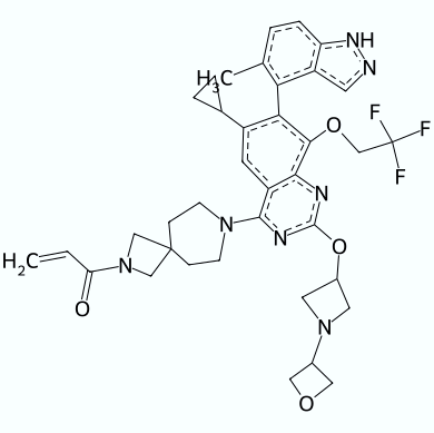 C=CC(=O)N1CC2(CCN(c3nc(OC4CN(C5COC5)C4)nc4c(OCC(F)(F)F)c(-c5c(C)ccc6[nH]ncc56)c(C5CC5)cc34)CC2)C1